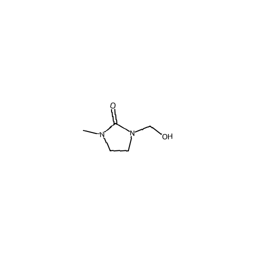 CN1CCN(CO)C1=O